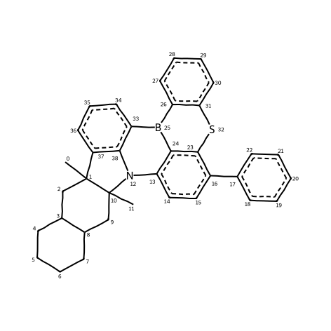 CC12CC3CCCCC3CC1(C)N1c3ccc(-c4ccccc4)c4c3B(c3ccccc3S4)c3cccc2c31